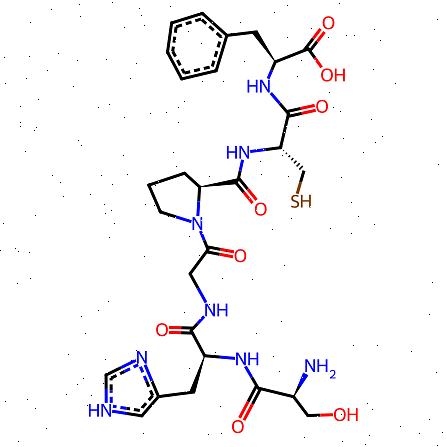 N[C@@H](CO)C(=O)N[C@@H](Cc1c[nH]cn1)C(=O)NCC(=O)N1CCC[C@H]1C(=O)N[C@@H](CS)C(=O)N[C@@H](Cc1ccccc1)C(=O)O